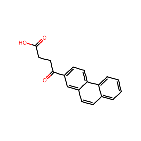 O=C(O)CCC(=O)c1ccc2c(ccc3ccccc32)c1